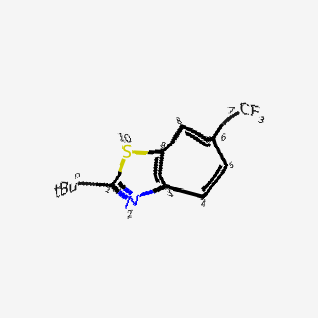 CC(C)(C)c1nc2ccc(C(F)(F)F)cc2s1